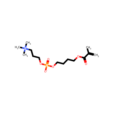 C=C(C)C(=O)OCCCCOP(=O)([O-])OCCC[N+](C)(C)C